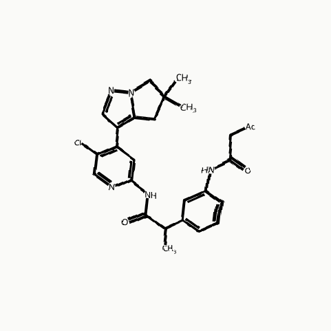 CC(=O)CC(=O)Nc1cccc(C(C)C(=O)Nc2cc(-c3cnn4c3CC(C)(C)C4)c(Cl)cn2)c1